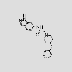 O=C(CN1CCC(Cc2ccccc2)CC1)Nc1ccc2cn[nH]c2c1